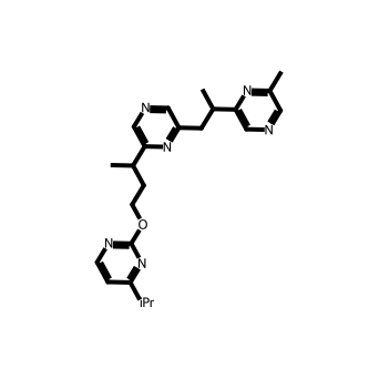 Cc1cncc(C(C)Cc2cncc(C(C)CCOc3nccc(C(C)C)n3)n2)n1